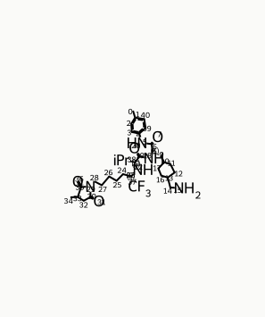 Cc1ccc(NC(=O)[C@H](CC2CCC(CN)CC2)NC(=O)[C@@H](N[C@@H](CCCCCN2C(=O)CC(C)C2=O)C(F)(F)F)C(C)C)cc1